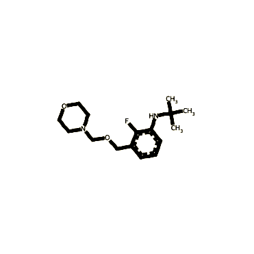 CC(C)(C)Nc1cccc(COCN2CCOCC2)c1F